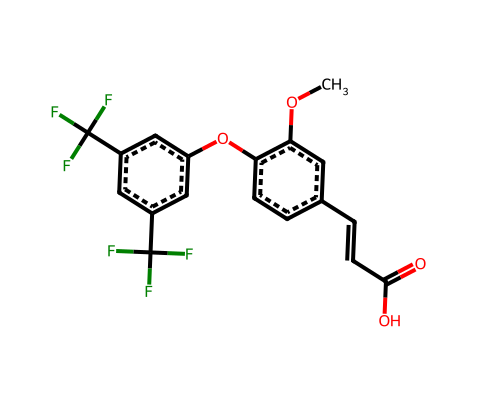 COc1cc(/C=C/C(=O)O)ccc1Oc1cc(C(F)(F)F)cc(C(F)(F)F)c1